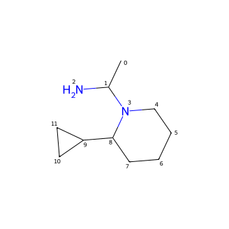 CC(N)N1CCCCC1C1CC1